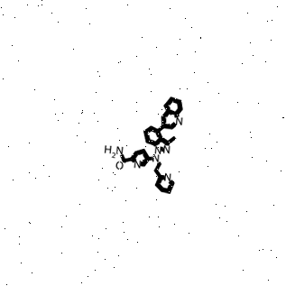 Cc1nn(N(CCc2ccccn2)c2ccc(C(N)=O)nc2)c2cccc(-c3cnc4ccccc4c3)c12